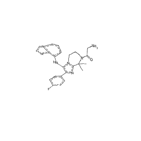 CC1(C)c2nc(-c3ccc(F)cc3)c(Nc3cccn4ccnc34)n2CCN1C(=O)CN